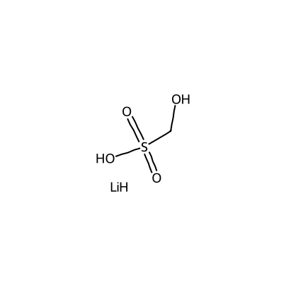 O=S(=O)(O)CO.[LiH]